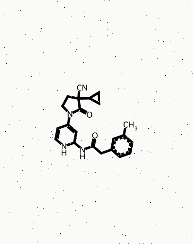 Cc1cccc(CC(=O)NC2C=C(N3CCC(C#N)(C4CC4)C3=O)C=CN2)c1